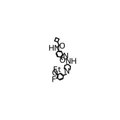 CCOc1cc(CN2CCC(Nc3nc4cc(NC(=O)C5CCC5)ccc4o3)CC2)ccc1F